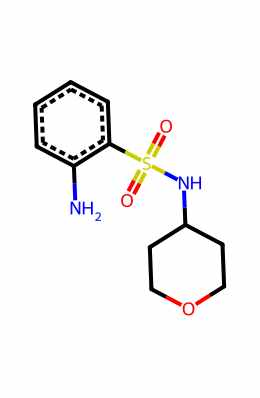 Nc1ccccc1S(=O)(=O)NC1CCOCC1